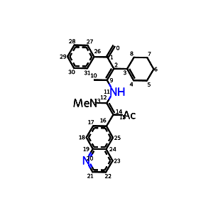 C=C(/C(C1=CCCCC1)=C(\C)N/C(NC)=C(\C(C)=O)c1ccc2ncccc2c1)c1ccccc1